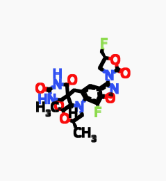 C[C@@H]1CN2c3c(cc4c(N5C[C@@H](CF)OC5=O)noc4c3F)CC3(C(=O)NC(=O)NC3=O)[C@H]2[C@H](C)O1